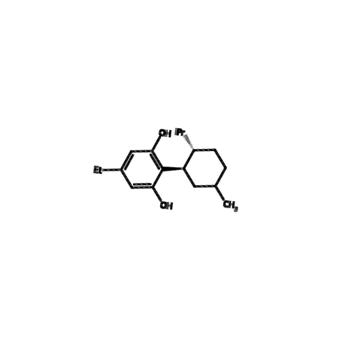 CCc1cc(O)c([C@@H]2CC(C)CC[C@H]2C(C)C)c(O)c1